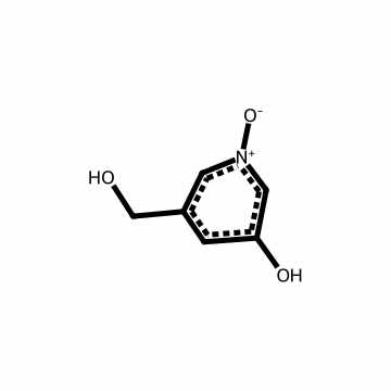 [O-][n+]1cc(O)cc(CO)c1